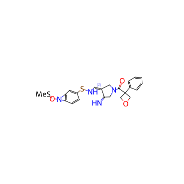 CSON1c2ccc(SN/C=C3/CN(C(=O)C4(c5ccccc5)COC4)CC3=N)cc21